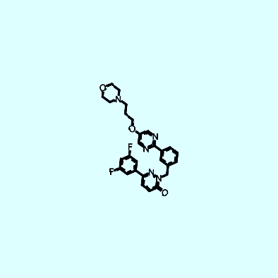 O=c1ccc(-c2cc(F)cc(F)c2)nn1Cc1cccc(-c2ncc(OCCCN3CCOCC3)cn2)c1